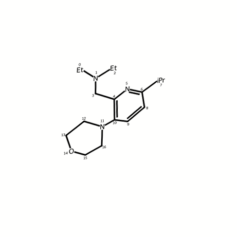 CCN(CC)Cc1nc(C(C)C)ccc1N1CCOCC1